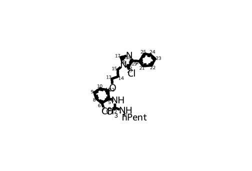 CCCCCNC(=O)Nc1c(C)cccc1OCCCn1cnc(-c2ccccc2)c1Cl